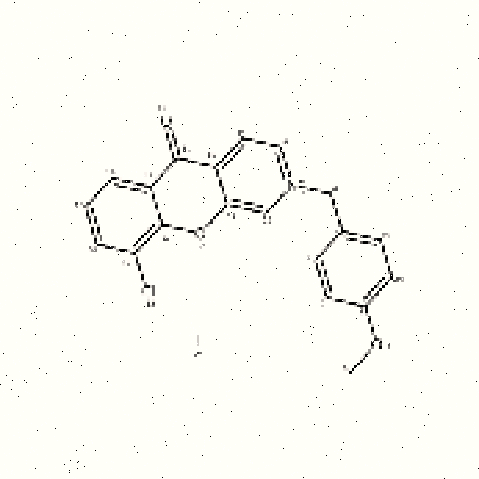 COc1ccc(C[n+]2ccc3c(=O)c4cccc(Cl)c4oc3c2)cc1.[I-]